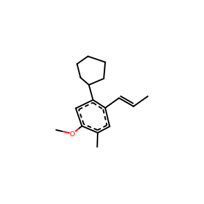 C/C=C/c1cc(C)c(OC)cc1C1CCCCC1